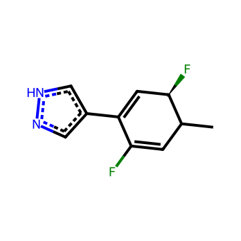 CC1C=C(F)C(c2cn[nH]c2)=C[C@H]1F